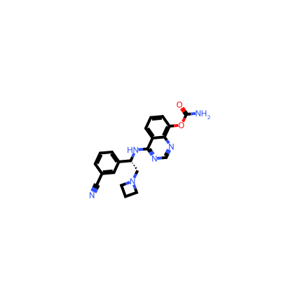 N#Cc1cccc([C@@H](CN2CCC2)Nc2ncnc3c(OC(N)=O)cccc23)c1